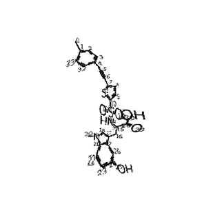 Cc1ccc(C#Cc2ccc(S(=O)(=O)N[C@H](Cc3cn(C)c4ccc(O)cc34)C(=O)O)s2)cc1